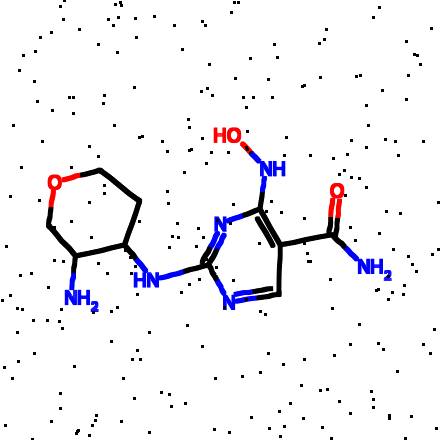 NC(=O)c1cnc(NC2CCOCC2N)nc1NO